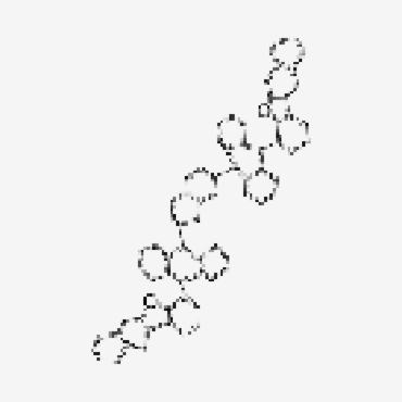 c1ccc2cc3c(cc2c1)oc1c(-c2c4ccccc4c(-c4ccc5ccc(-c6c7ccccc7c(-c7cccc8c7oc7cc9ccccc9cc78)c7ccccc67)cc5c4)c4ccccc24)cccc13